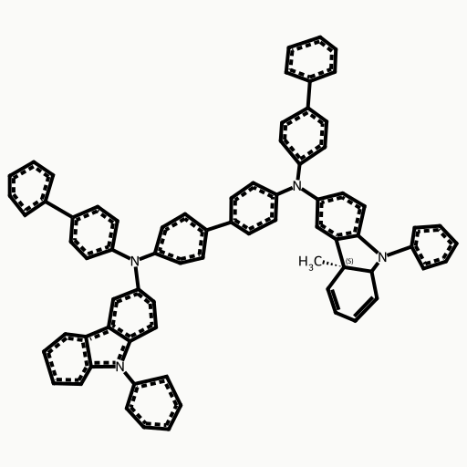 C[C@@]12C=CC=CC1N(c1ccccc1)c1ccc(N(c3ccc(-c4ccccc4)cc3)c3ccc(-c4ccc(N(c5ccc(-c6ccccc6)cc5)c5ccc6c(c5)c5ccccc5n6-c5ccccc5)cc4)cc3)cc12